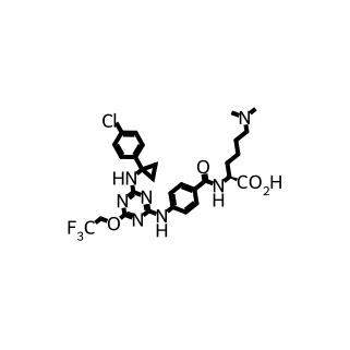 CN(C)CCCC[C@H](NC(=O)c1ccc(Nc2nc(NC3(c4ccc(Cl)cc4)CC3)nc(OCC(F)(F)F)n2)cc1)C(=O)O